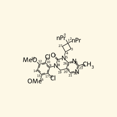 CCCC1(CCC)CC(N2C(=O)N(c3c(Cl)c(OC)cc(OC)c3Cl)Cc3cnc(C)nc32)C1